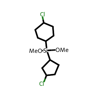 CO[Si](OC)(C1CCC(Cl)CC1)C1CCC(Cl)C1